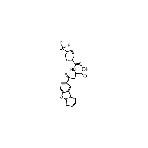 O=C(CC(NC(=O)c1ccc(C(F)(F)F)cc1)C(=O)O)c1ccc2oc3ccccc3c2c1